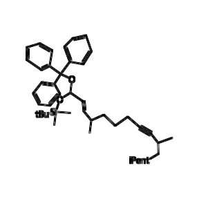 CCCC(C)CC(C)C#CCCCC(C)C=CC(OC(c1ccccc1)(c1ccccc1)c1ccccc1)O[Si](C)(C)C(C)(C)C